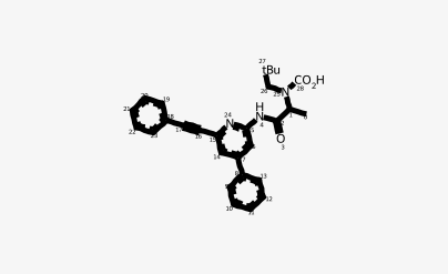 CC(C(=O)Nc1cc(-c2ccccc2)cc(C#Cc2ccccc2)n1)N(CC(C)(C)C)C(=O)O